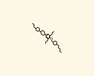 CCCCCC1CCC(COc2c(CCC)cc(C3CCC(C4CCC(CCC)CC4)CC3)cc2CCC)CC1